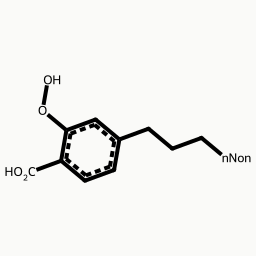 CCCCCCCCCCCCc1ccc(C(=O)O)c(OO)c1